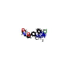 CN(c1cccc(-c2ccc(CN3CCOCC3)o2)c1)c1nc2nnc(Cl)n2c2ccccc12